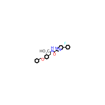 O=C(N[C@@H](Cc1ccc(OCc2ccccc2)cc1)C(=O)O)c1cn2cc(-c3ccccc3F)ccc2n1